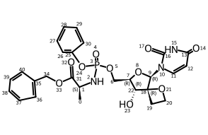 C[C@H](NP(=O)(OC[C@H]1O[C@@H](n2ccc(=O)[nH]c2=O)[C@@]2(CCO2)[C@@H]1O)Oc1ccccc1)C(=O)OCc1ccccc1